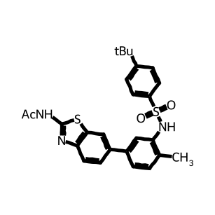 CC(=O)Nc1nc2ccc(-c3ccc(C)c(NS(=O)(=O)c4ccc(C(C)(C)C)cc4)c3)cc2s1